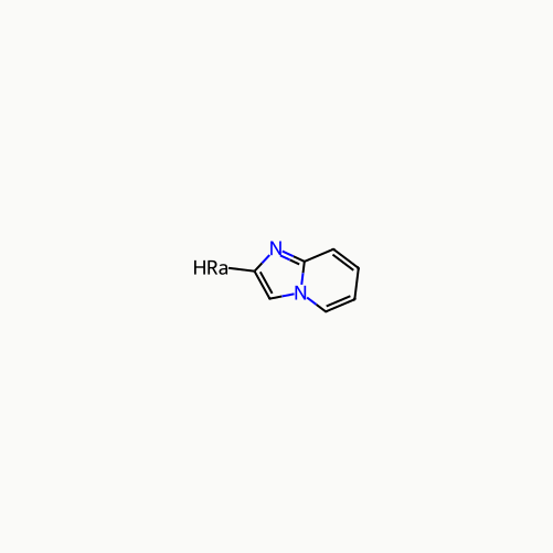 [RaH][c]1cn2ccccc2n1